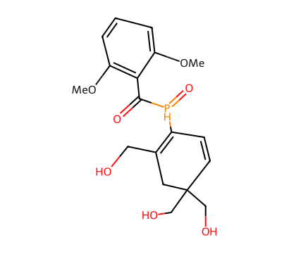 COc1cccc(OC)c1C(=O)[PH](=O)C1=C(CO)CC(CO)(CO)C=C1